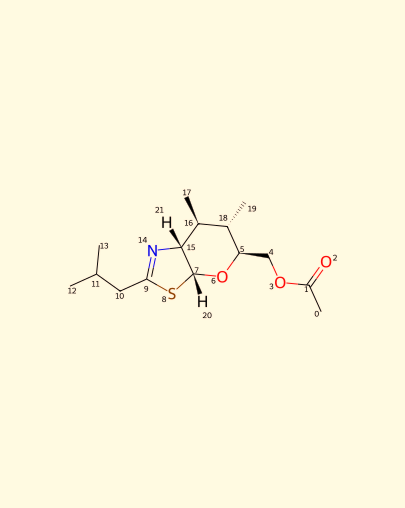 CC(=O)OC[C@H]1O[C@@H]2SC(CC(C)C)=N[C@@H]2[C@@H](C)[C@@H]1C